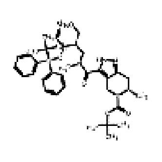 C=C[C@H](O[Si](c1ccccc1)(c1ccccc1)C(C)(C)C)[C@@H](CO)CN(C)C(=O)c1[nH]nc2c1CN(C(=O)OC(C)(C)C)[C@H](C)C2